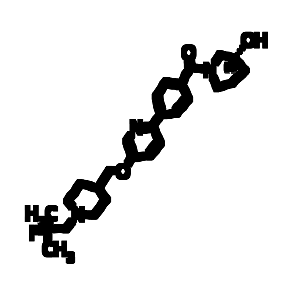 CC(C)(F)CN1CCC(COc2ccc(-c3ccc(C(=O)N4CCC[C@@H](O)C4)cc3)nc2)CC1